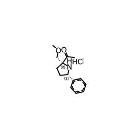 COC[C@@]1(C(C)=O)CC[C@@H](c2ccccc2)N1.Cl